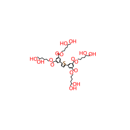 O=C(OCCCCC(O)CO)c1cc(C(=O)OCCCCC(O)CO)cc(-c2ccc(-c3cc(C(=O)OCCCCC(O)CO)cc(C(=O)OCCCCC(O)CO)c3)s2)c1